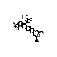 CCC1CN(Cc2cc(C(c3ccc4c(nnn4C)c3C)C(C)(C)C(=O)O)ccc2C)CCC(C2CC2)O1